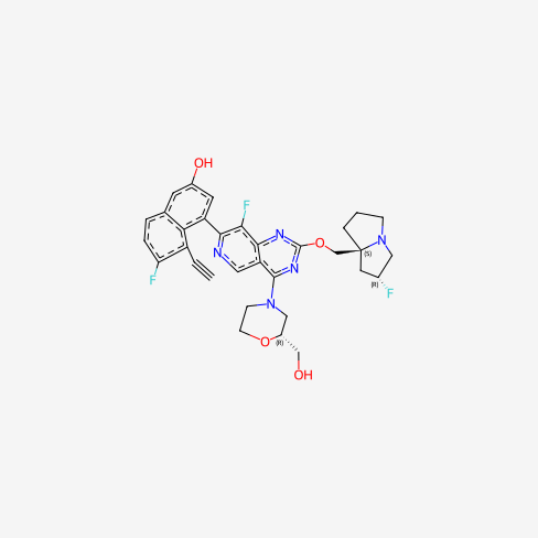 C#Cc1c(F)ccc2cc(O)cc(-c3ncc4c(N5CCO[C@@H](CO)C5)nc(OC[C@@]56CCCN5C[C@H](F)C6)nc4c3F)c12